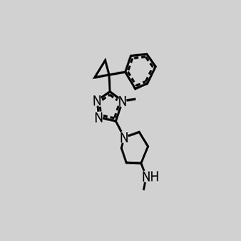 CNC1CCN(c2nnc(C3(c4ccccc4)CC3)n2C)CC1